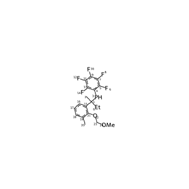 CCC(C)(Pc1c(F)c(F)c(F)c(F)c1F)c1cccc(C)c1OCOC